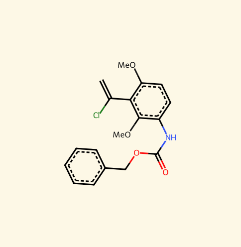 C=C(Cl)c1c(OC)ccc(NC(=O)OCc2ccccc2)c1OC